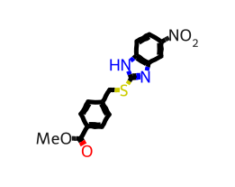 COC(=O)c1ccc(CSc2nc3cc([N+](=O)[O-])ccc3[nH]2)cc1